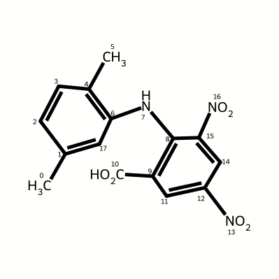 Cc1ccc(C)c(Nc2c(C(=O)O)cc([N+](=O)[O-])cc2[N+](=O)[O-])c1